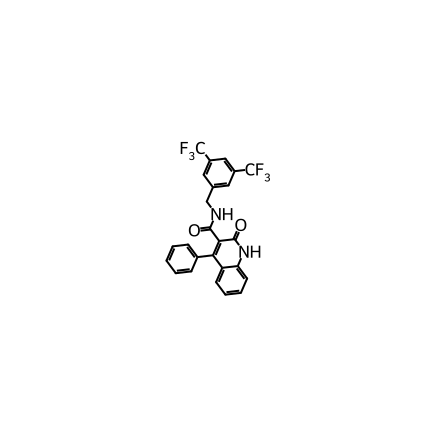 O=C(NCc1cc(C(F)(F)F)cc(C(F)(F)F)c1)c1c(-c2ccccc2)c2ccccc2[nH]c1=O